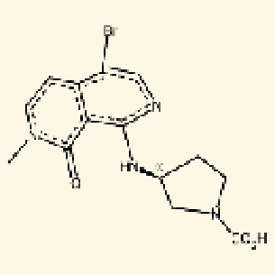 Cn1ccc2c(Br)cnc(N[C@H]3CCN(C(=O)O)C3)c2c1=O